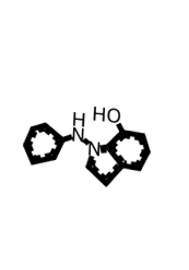 Oc1cccc2ccn(Nc3ccccc3)c12